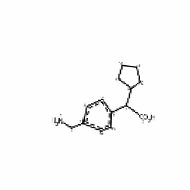 NCc1ccc(C(C(=O)O)C2CCCC2)cc1